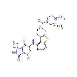 C[C@@H]1CN(C(=O)[C@H]2CCc3c(sc4ncnc(Nc5cc(Cl)c6n(c5=O)C5(CSC5)NC6=O)c34)C2)CCN1C